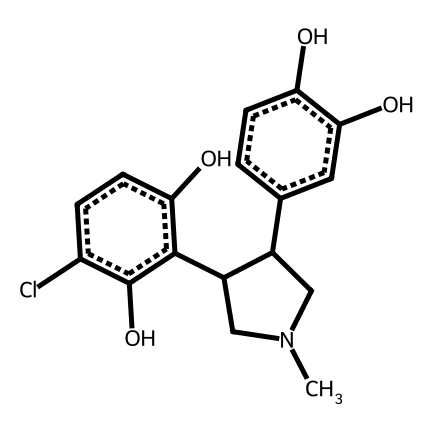 CN1CC(c2ccc(O)c(O)c2)C(c2c(O)ccc(Cl)c2O)C1